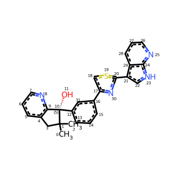 CC1(C)Cc2cccnc2[C@@]1(O)c1cccc(-c2csc(-c3c[nH]c4ncccc34)n2)c1